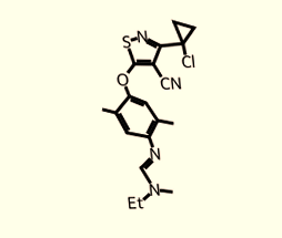 CCN(C)C=Nc1cc(C)c(Oc2snc(C3(Cl)CC3)c2C#N)cc1C